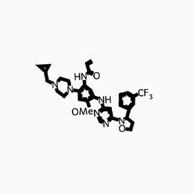 C=CC(=O)Nc1cc(Nc2cc(N3OCCC3c3cccc(C(F)(F)F)c3)ncn2)c(OC)cc1N1CCN(CC2CC2)CC1